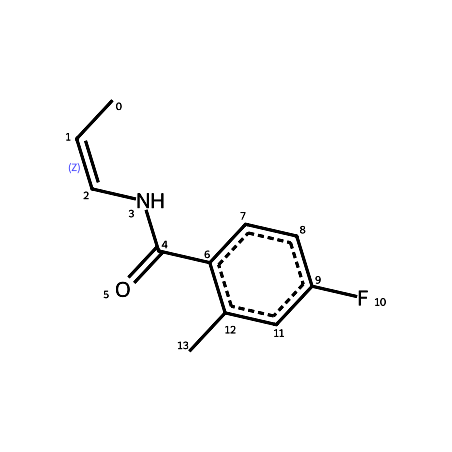 C/C=C\NC(=O)c1ccc(F)cc1C